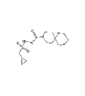 O=C(ONS(=O)(=O)CC1CC1)N1CCC2(CCCCO2)CC1